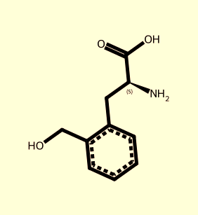 N[C@@H](Cc1ccccc1CO)C(=O)O